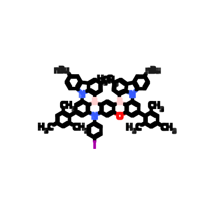 CCCCc1ccc2c(c1)c1cc(C)cc3c1n2-c1cc(-c2c(C)cc(C)cc2C)cc2c1B3c1cc3c(cc1O2)N(c1ccc(I)cc1)c1cc(-c2c(C)cc(C)cc2C)cc2c1B3c1cc(C)cc3c4cc(CCCC)ccc4n-2c13